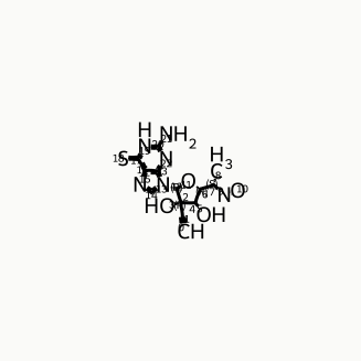 C#C[C@@]1(O)C(O)[C@@H]([C@H](C)N=O)O[C@H]1n1cnc2c(=S)[nH]c(N)nc21